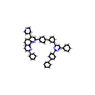 c1ccc(-c2ccc(-c3nc(-c4ccccc4)cc(-c4cccc(-c5ccc(-c6cc(-c7ccncc7)c7ccc8ccc(-c9ccccc9)nc8c7n6)cc5)c4)n3)cc2)cc1